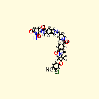 CC1(C)[C@H](Oc2ccc(C#N)c(Cl)c2)C(C)(C)[C@H]1N1Cc2cc(C(=O)N3CCC(CN4Cc5cc6c(cc5C4)C(=O)N(C4CCC(=O)NC4=O)C6)CC3)ccc2C1=O